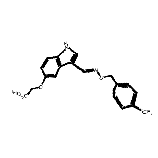 O=C(O)COc1ccc2[nH]cc(C=NOCc3ccc(C(F)(F)F)cc3)c2c1